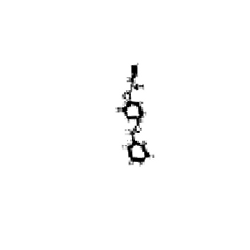 C=CCNOc1ccc(OCc2ccccc2)cc1